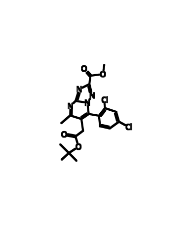 COC(=O)c1nc2nc(C)c(CC(=O)OC(C)(C)C)c(-c3ccc(Cl)cc3Cl)n2n1